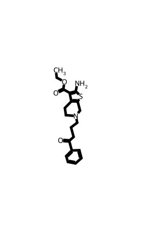 CCOC(=O)c1c(N)sc2c1CCN(CCCC(=O)c1ccccc1)C2